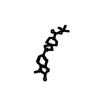 Cn1c(=O)oc2cc(N3CC4(CCN(C(=O)OC(C)(C)C)CC4)C3)ccc21